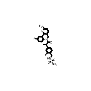 CC(C(=O)NCc1ccc(C(F)(F)F)nc1-c1cccc(F)c1)c1ccc(CNS(N)(=O)=O)c(F)c1